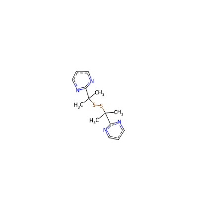 CC(C)(SSC(C)(C)c1ncccn1)c1ncccn1